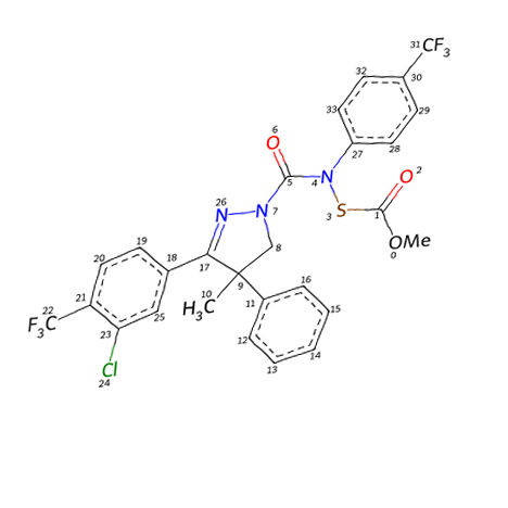 COC(=O)SN(C(=O)N1CC(C)(c2ccccc2)C(c2ccc(C(F)(F)F)c(Cl)c2)=N1)c1ccc(C(F)(F)F)cc1